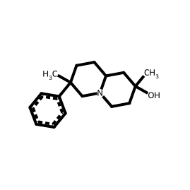 CC1(O)CCN2CC(C)(c3ccccc3)CCC2C1